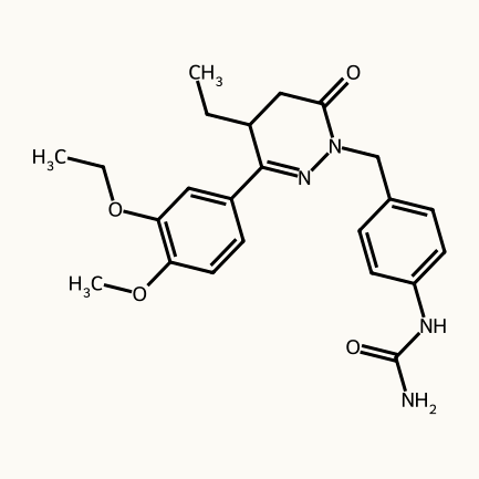 CCOc1cc(C2=NN(Cc3ccc(NC(N)=O)cc3)C(=O)CC2CC)ccc1OC